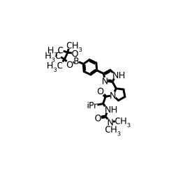 CC(C)C(NC(=O)N(C)C)C(=O)N1CCCC1c1nc(-c2ccc(B3OC(C)(C)C(C)(C)O3)cc2)c[nH]1